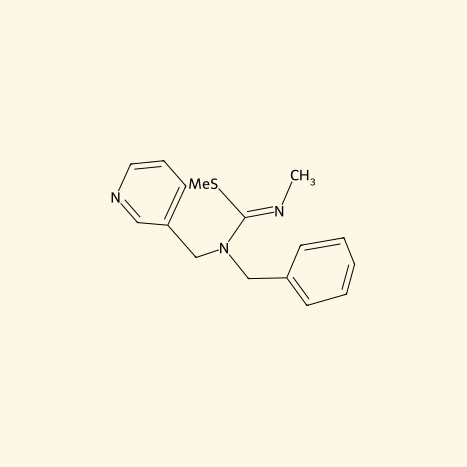 CN=C(SC)N(Cc1ccccc1)Cc1cccnc1